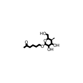 CC(=O)CCCCO[C@H]1OC(CO)[C@@H](C)C(O)C1O